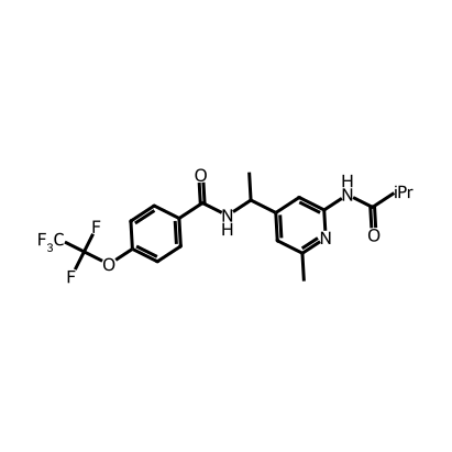 Cc1cc(C(C)NC(=O)c2ccc(OC(F)(F)C(F)(F)F)cc2)cc(NC(=O)C(C)C)n1